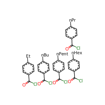 CCCCCCc1ccc(C(=O)Cl)cc1.CCCCCc1ccc(C(=O)Cl)cc1.CCCCc1ccc(C(=O)Cl)cc1.CCCc1ccc(C(=O)Cl)cc1.CCc1ccc(C(=O)Cl)cc1